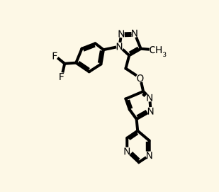 Cc1nnn(-c2ccc(C(F)F)cc2)c1COc1ccc(-c2cncnc2)nn1